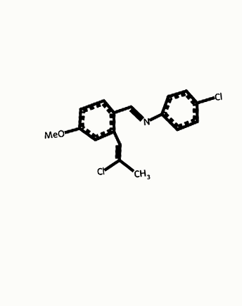 COc1ccc(/C=N/c2ccc(Cl)cc2)c(/C=C(/C)Cl)c1